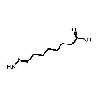 NN=CCCCCCCC(=O)O